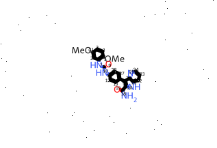 COc1ccc(OC)c(NC(=O)Nc2ccc(-c3c(C(N)=O)[nH]c4cccnc34)cc2)c1